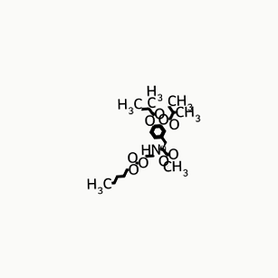 CCCCCOC(=O)OCCN[C@@H](Cc1ccc(OC(=O)C(C)CC)c(OC(=O)C(C)CC)c1)C(=O)OC